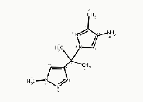 Cc1nn(C(C)(C)c2cnn(C)c2)cc1N